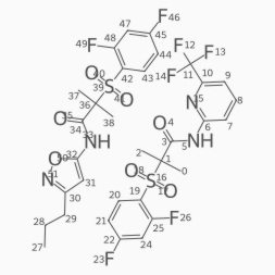 CC(C)(C(=O)Nc1cccc(C(F)(F)F)n1)S(=O)(=O)c1ccc(F)cc1F.CCCc1cc(NC(=O)C(C)(C)S(=O)(=O)c2ccc(F)cc2F)on1